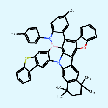 CC(C)(C)c1ccc(N2B3c4cc5sc6ccccc6c5cc4-n4c5cc6c(cc5c5c7oc8ccccc8c7c(c3c54)-c3cc(C(C)(C)C)ccc32)C(C)(C)CCC6(C)C)cc1